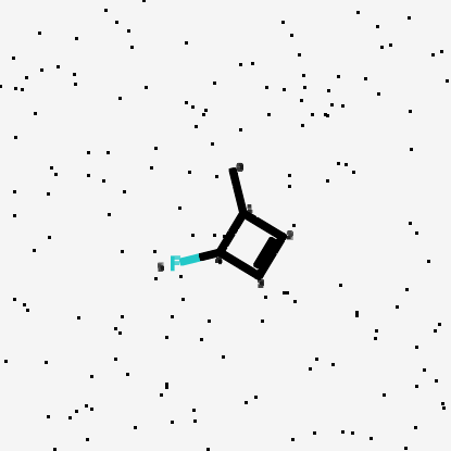 CC1C=CC1F